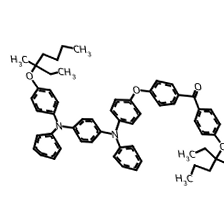 CCCCC(C)(CC)Oc1ccc(N(c2ccccc2)c2ccc(N(c3ccccc3)c3ccc(Oc4ccc(C(=O)c5ccc(OC(C)(CC)CCC)cc5)cc4)cc3)cc2)cc1